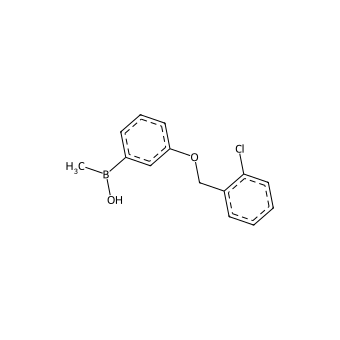 CB(O)c1cccc(OCc2ccccc2Cl)c1